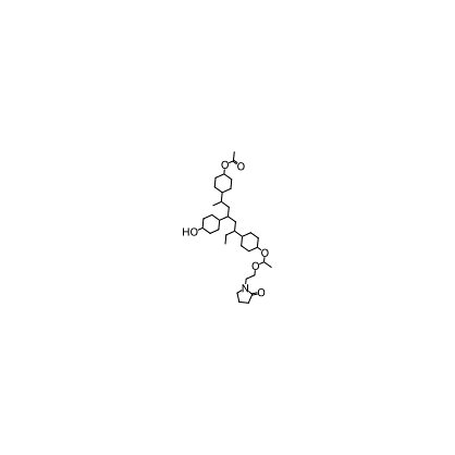 CCC(CC(CC(C)C1CCC(OC(C)=O)CC1)C1CCC(O)CC1)C1CCC(OC(C)OCCN2CCCC2=O)CC1